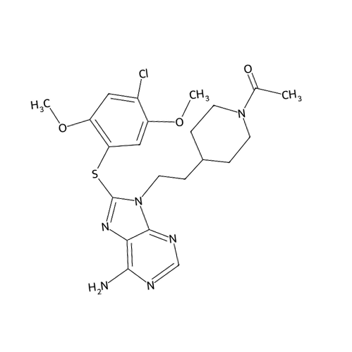 COc1cc(Sc2nc3c(N)ncnc3n2CCC2CCN(C(C)=O)CC2)c(OC)cc1Cl